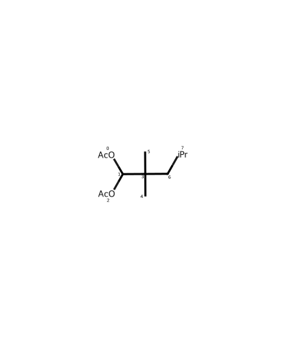 CC(=O)OC(OC(C)=O)C(C)(C)CC(C)C